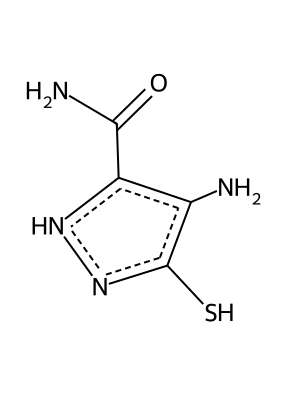 NC(=O)c1[nH]nc(S)c1N